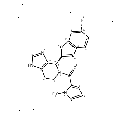 O=C(c1ccnn1C(F)(F)F)N1CCc2[nH]cnc2[C@H]1c1nc2ccc(F)cc2o1